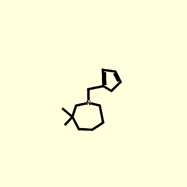 CC1(C)CCCCN(CC2=CC=CC2)C1